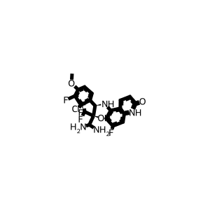 COc1ccc([C@H](Nc2cc(F)cc3[nH]c(=O)ccc23)[C@@](O)(C(N)N)C(F)(F)F)c(Cl)c1F